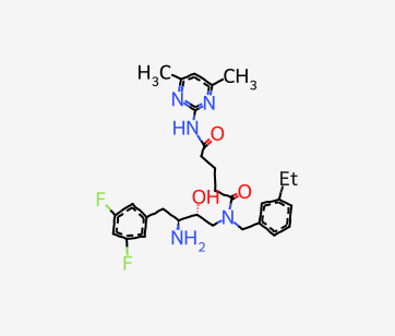 CCc1cccc(CN(C[C@@H](O)[C@@H](N)Cc2cc(F)cc(F)c2)C(=O)CCCC(=O)Nc2nc(C)cc(C)n2)c1